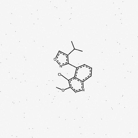 COc1[c]nc2cccc(-c3nocc3C(C)C)c2c1Cl